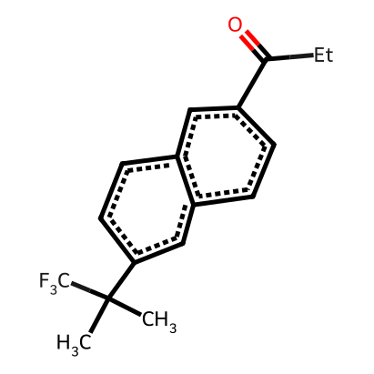 CCC(=O)c1ccc2cc(C(C)(C)C(F)(F)F)ccc2c1